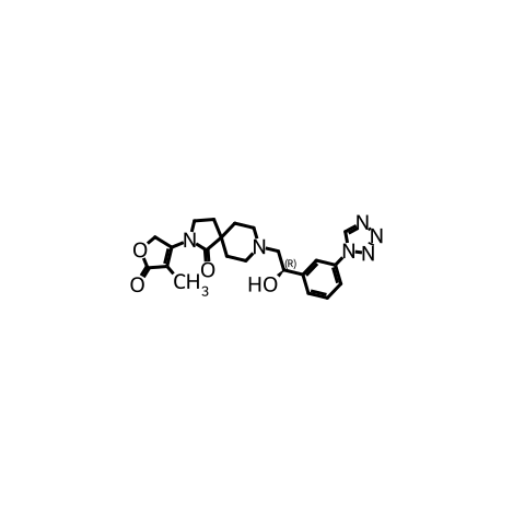 CC1=C(N2CCC3(CCN(C[C@H](O)c4cccc(-n5cnnn5)c4)CC3)C2=O)COC1=O